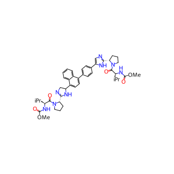 COC(=O)N[C@H](C(=O)N1CCC[C@H]1C1=NCC(c2ccc(-c3ccc(-c4cnc([C@@H]5CCCN5C(=O)[C@@H](NC(=O)OC)C(C)C)[nH]4)cc3)c3ccccc23)N1)C(C)C